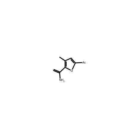 C=C(N)c1oc(C(C)=O)cc1C